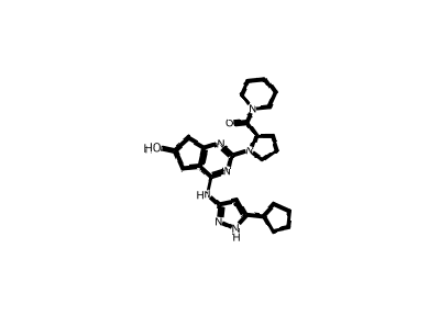 O=C(C1CCCN1c1nc2c(c(Nc3cc(C4CCCC4)[nH]n3)n1)CC(O)C2)N1CCCCC1